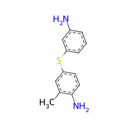 Cc1cc(Sc2cccc(N)c2)ccc1N